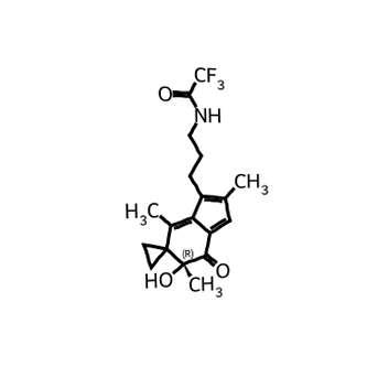 CC1=C(CCCNC(=O)C(F)(F)F)C2=C(C)C3(CC3)[C@@](C)(O)C(=O)C2=C1